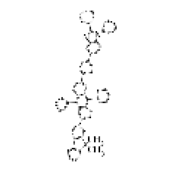 CC1(C)c2ccccc2-c2ccc(-c3ccc4c(-c5ccccc5)c5cc(-c6ccc(-c7ccc8c(c7)nc(-c7ccccc7)n8-c7ccccc7)cc6)ccc5c(-c5ccccc5)c4c3)cc21